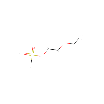 O=S(=O)(OCCOCC(F)(F)F)C(F)(F)F